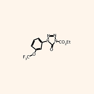 CCOC(=O)n1nnn(-c2cccc(OC(F)(F)F)c2)c1=O